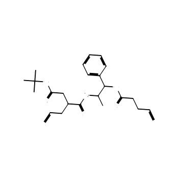 C=CCCC(=O)OC(c1ccccc1)C(C)NC(=O)C(CC=C)CC(=O)OC(C)(C)C